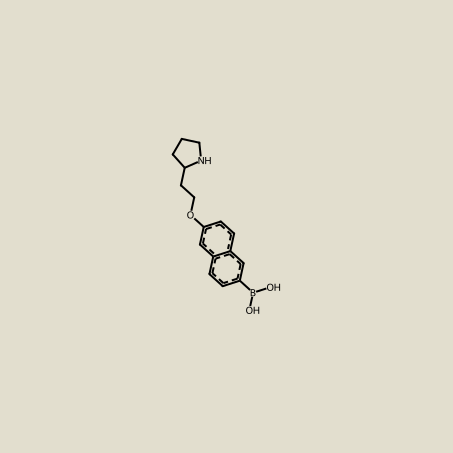 OB(O)c1ccc2cc(OCCC3CCCN3)ccc2c1